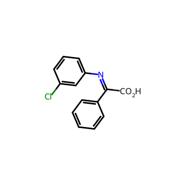 O=C(O)C(=Nc1cccc(Cl)c1)c1ccccc1